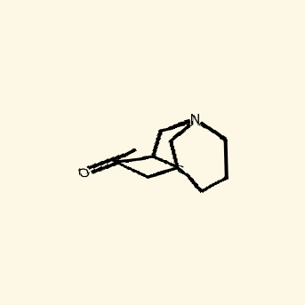 O=C1CC2CN3CCC2CC1C3